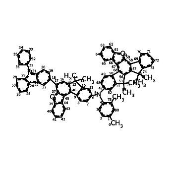 Cc1ccc(N(c2ccc3c(c2)C(C)(C)c2cc(-c4ccc5c(c4)c4ccccc4n5-c4ccccc4)c4oc5ccccc5c4c2-3)c2ccc3c(c2)C(C)(C)c2c4c(c5oc6ccccc6c5c2-3)-c2ccccc2C4(C)C)c(C)c1